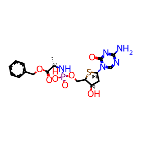 C[C@H](NP(=O)(O)OCC1S[C@@H](n2cnc(N)nc2=O)C[C@H]1O)C(=O)OCc1ccccc1